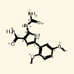 COc1ccc(OC)c(-c2cc(C(N)=O)c(NC(N)=O)[nH]2)c1